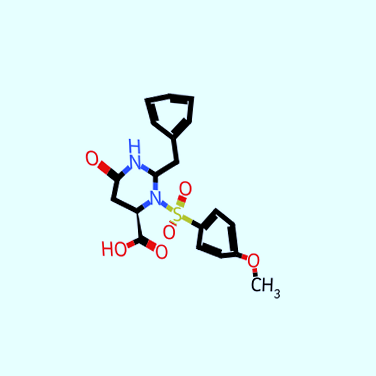 COc1ccc(S(=O)(=O)N2C(Cc3ccccc3)NC(=O)C[C@@H]2C(=O)O)cc1